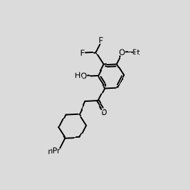 CCCC1CCC(CC(=O)c2ccc(OCC)c(C(F)F)c2O)CC1